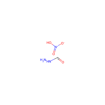 NNC=O.O=[N+]([O-])O